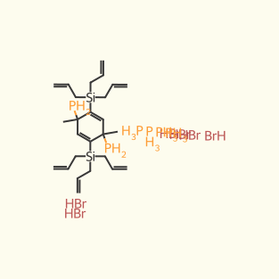 Br.Br.Br.Br.Br.Br.C=CC[Si](CC=C)(CC=C)C1=CC(C)(P)C([Si](CC=C)(CC=C)CC=C)=CC1(C)P.P.P.P.P